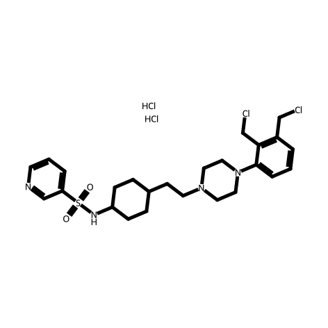 Cl.Cl.O=S(=O)(NC1CCC(CCN2CCN(c3cccc(CCl)c3CCl)CC2)CC1)c1cccnc1